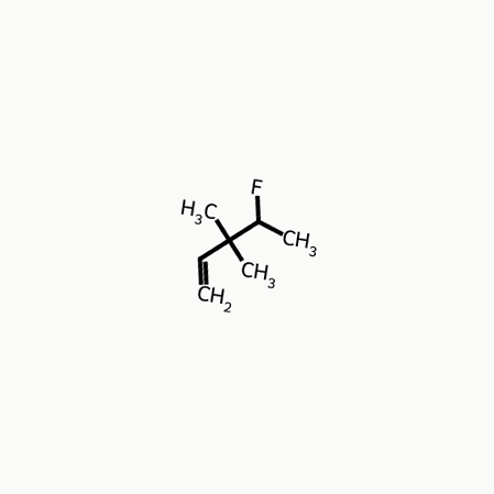 C=CC(C)(C)C(C)F